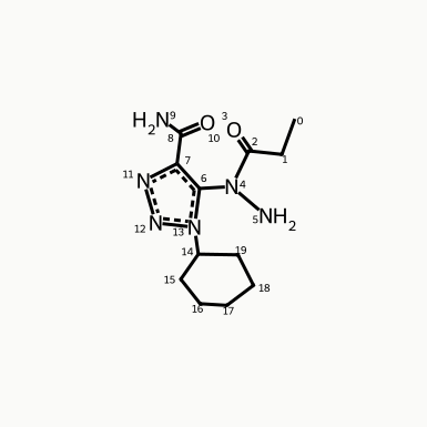 CCC(=O)N(N)c1c(C(N)=O)nnn1C1CCCCC1